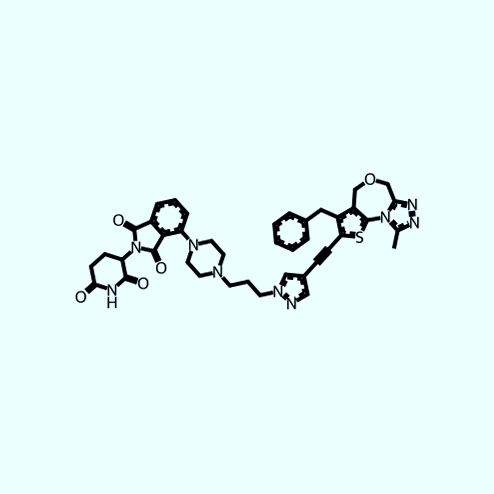 Cc1nnc2n1-c1sc(C#Cc3cnn(CCCN4CCN(c5cccc6c5C(=O)N(C5CCC(=O)NC5=O)C6=O)CC4)c3)c(Cc3ccccc3)c1COC2